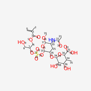 C=C(C)C(=O)OCC(CO)OS(=O)(=O)OC1OC(OC)C(NC(C)=O)CC1OC1OC(C(=O)O)C(C)C(O)C1O